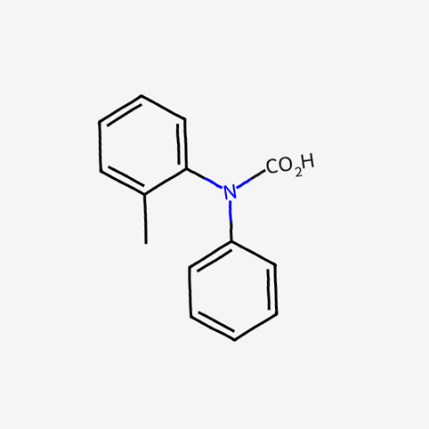 Cc1ccccc1N(C(=O)O)c1ccccc1